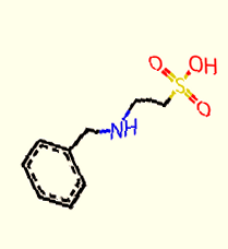 O=S(=O)(O)CCNCc1ccccc1